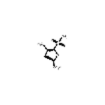 Cc1cc(C(=O)O)sc1S(N)(=O)=O